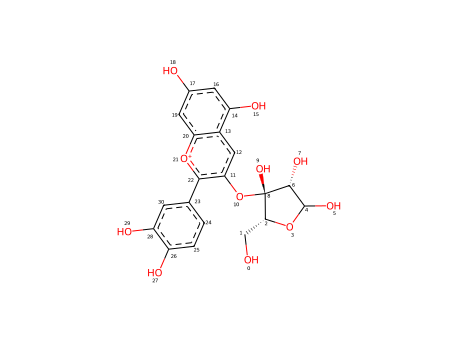 OC[C@H]1OC(O)[C@@H](O)[C@@]1(O)Oc1cc2c(O)cc(O)cc2[o+]c1-c1ccc(O)c(O)c1